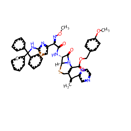 C=C(C1=C(C(=O)OCc2ccc(OC)cc2)N2C(=O)[C@@H](NC(=O)/C(=N\OC)c3csc(NC(c4ccccc4)(c4ccccc4)c4ccccc4)n3)[C@@H]2SC1)c1cnccn1